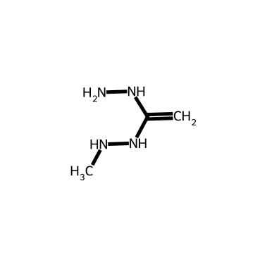 C=C(NN)NNC